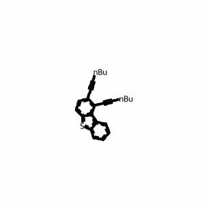 CCCCC#Cc1ccc2sc3ccccc3c2c1C#CCCCC